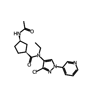 CCN(C(=O)[C@H]1CC[C@@H](NC(C)=O)C1)c1cn(-c2cccnc2)nc1Cl